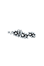 Cc1cc(C)c(S(=O)(=O)N2CCC3(CC2)CC(N2CCC4(CCOC4)C2)CO3)cn1